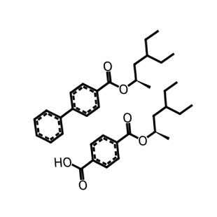 CCC(CC)C[C@@H](C)OC(=O)c1ccc(-c2ccccc2)cc1.CCC(CC)C[C@@H](C)OC(=O)c1ccc(C(=O)O)cc1